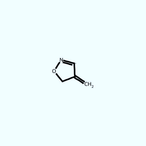 C=C1[C]=NOC1